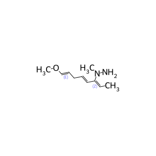 C/C=C(/C=CC/C=C/OC)N(C)N